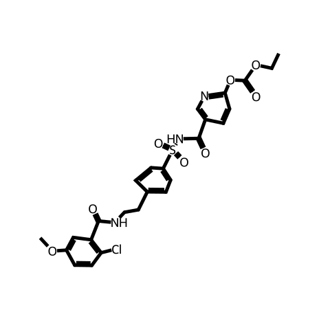 CCOC(=O)Oc1ccc(C(=O)NS(=O)(=O)c2ccc(CCNC(=O)c3cc(OC)ccc3Cl)cc2)cn1